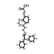 O=C(O)COc1cccc2c1CCCC2CCON=C(c1ccccc1)c1ccccc1